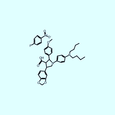 CCCCN(CCCC)c1ccc(N2CC(c3ccc4c(c3)OCO4)C(C(=O)O)C2c2ccc(OC)cc2)cc1.O=[N+]([O-])c1ccc(F)cc1